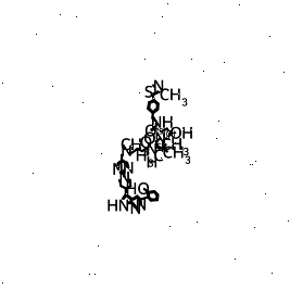 Cc1ncsc1-c1ccc(CNC(=O)[C@@H]2C[C@@H](O)CN2C(=O)[C@@H](NC(=O)CCCN(C)Cc2cnc(N3CCC(c4c[nH]c5nnc(-c6ccccc6O)cc45)CC3)nc2)C(C)(C)C)cc1